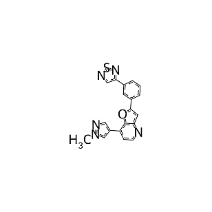 Cn1cc(-c2ccnc3cc(-c4cccc(-c5cnsn5)c4)oc23)cn1